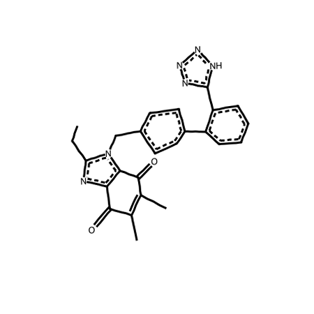 CCc1nc2c(n1Cc1ccc(-c3ccccc3-c3nnn[nH]3)cc1)C(=O)C(C)=C(C)C2=O